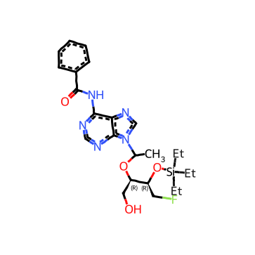 CC[Si](CC)(CC)O[C@@H](CF)[C@@H](CO)OC(C)n1cnc2c(NC(=O)c3ccccc3)ncnc21